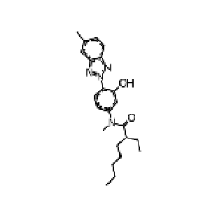 CCCCCC(CC)C(=O)N(C)c1ccc(-n2nc3ccc(C)cc3n2)c(O)c1